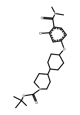 CN(C)C(=O)c1ccc(OC2CCC(C3CCN(C(=O)OC(C)(C)C)CC3)CC2)cc1Cl